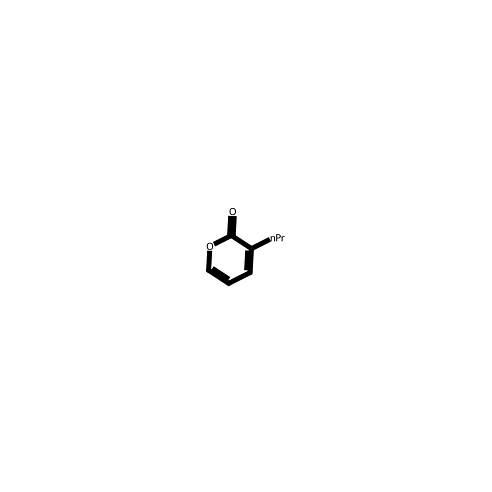 CCCc1cccoc1=O